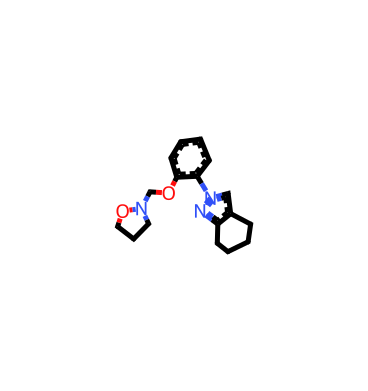 c1ccc(-n2cc3c(n2)CCCC3)c(OCN2CCCO2)c1